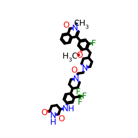 COc1cc(-c2cn(C)c(=O)c3ccccc23)cc(F)c1CC1CCN(CC(=O)N2CCC(c3ccc(NC4CCC(=O)NC4=O)cc3C(F)(F)F)CC2)CC1